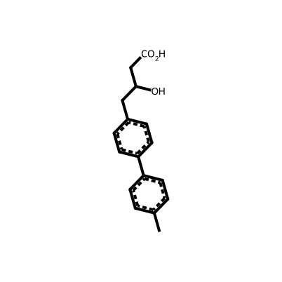 Cc1ccc(-c2ccc(CC(O)CC(=O)O)cc2)cc1